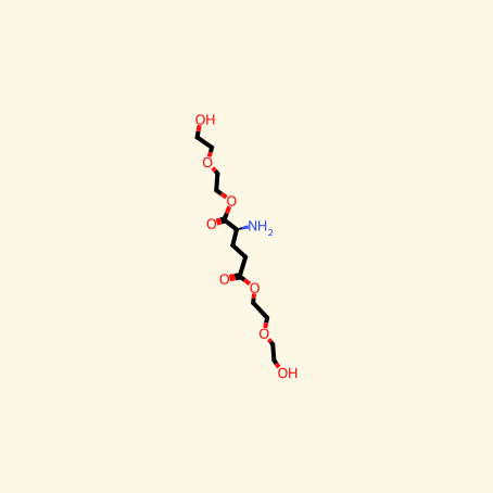 N[C@@H](CCC(=O)OCCOCCO)C(=O)OCCOCCO